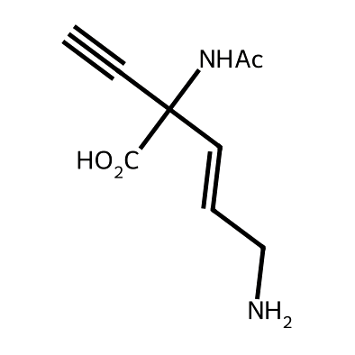 C#CC(C=CCN)(NC(C)=O)C(=O)O